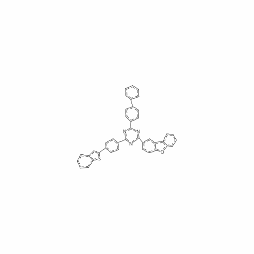 c1ccc(-c2ccc(-c3nc(-c4ccc(-c5cc6ccccc6s5)cc4)nc(-c4ccc5oc6ccccc6c5c4)n3)cc2)cc1